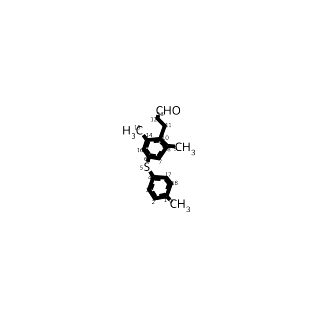 Cc1ccc(Sc2cc(C)c(CCC=O)c(C)c2)cc1